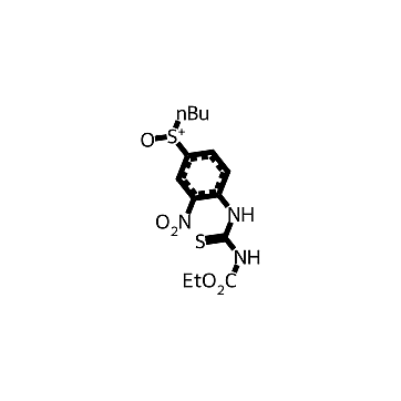 CCCC[S+]([O-])c1ccc(NC(=S)NC(=O)OCC)c([N+](=O)[O-])c1